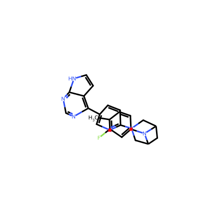 Cc1ccc(N2C3CC2CN(c2ccc(-c4ncnc5[nH]ccc45)cn2)C3)cc1F